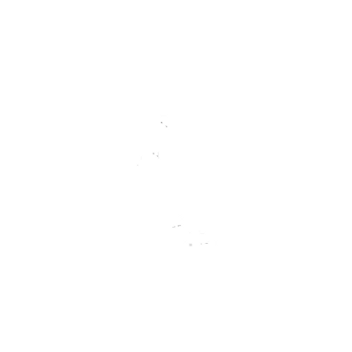 CCCCCCCC(CC)C(=O)OCCCCCCN(C(=O)O)C1CCNCC1